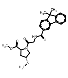 COC(=O)C1C[C@@H](SC)CN1C(=O)CNC(=O)c1ccc2c(c1)-c1ccccc1C2(C)C